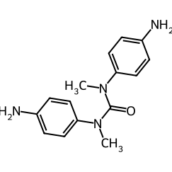 CN(C(=O)N(C)c1ccc(N)cc1)c1ccc(N)cc1